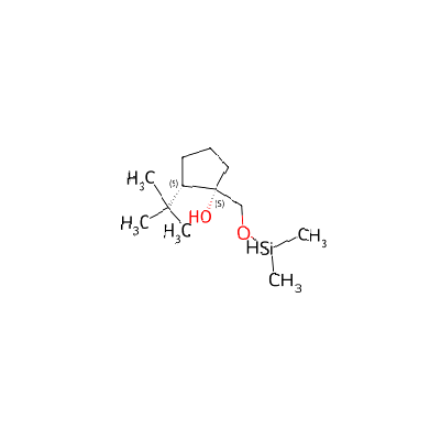 C[SiH](C)OC[C@]1(O)CCC[C@H]1C(C)(C)C